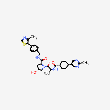 Cc1ncc([C@H]2CC[C@H](C(=O)N[C@H](C(=O)N3C[C@H](O)C[C@H]3C(=O)NCc3ccc(-c4scnc4C)cc3)C(C)(C)C)CC2)cn1